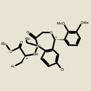 COc1cccc([C@H]2OCC(=O)[N+](CC(C)(C)C)(N[C@@H](CC(C)=O)C(=O)OC(C)(C)C)c3ccc(Cl)cc32)c1OC